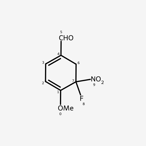 COC1=CC=C(C=O)CC1(F)[N+](=O)[O-]